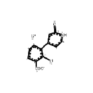 O=C([O-])c1cccc(-c2cc[nH]c(=O)c2)c1Cl.[Li+]